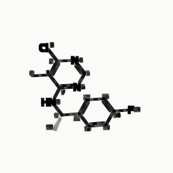 Cc1c(Cl)ncnc1N[C@@H](C)c1ccc(F)cc1